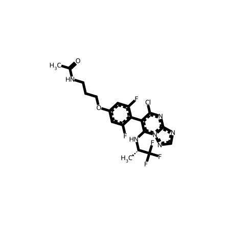 CC(=O)NCCCOc1cc(F)c(-c2c(Cl)nc3ncnn3c2N[C@@H](C)C(F)(F)F)c(F)c1